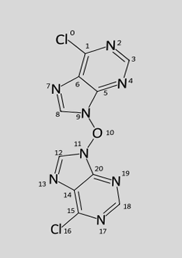 Clc1ncnc2c1ncn2On1cnc2c(Cl)ncnc21